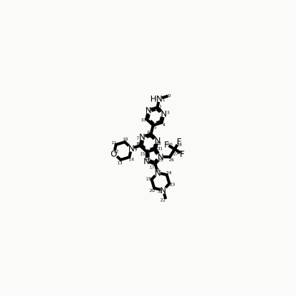 CNc1ncc(-c2nc(N3CCOCC3)c3nc(N4CCN(C)CC4)n(CC(F)(F)F)c3n2)cn1